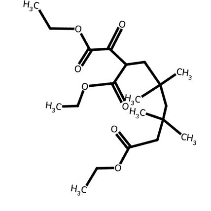 CCOC(=O)CC(C)(C)CC(C)(C)CC(C(=O)OCC)C(=O)C(=O)OCC